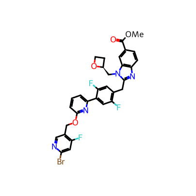 COC(=O)c1ccc2nc(Cc3cc(F)c(-c4cccc(OCc5cnc(Br)cc5F)n4)cc3F)n(C[C@@H]3CCO3)c2c1